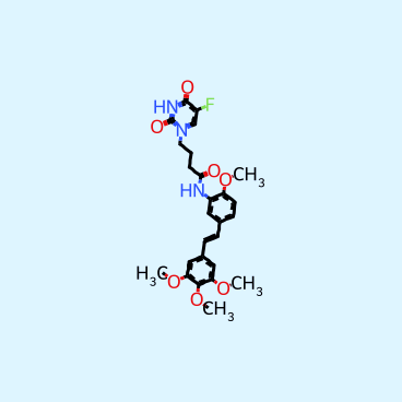 COc1ccc(C=Cc2cc(OC)c(OC)c(OC)c2)cc1NC(=O)CCCn1cc(F)c(=O)[nH]c1=O